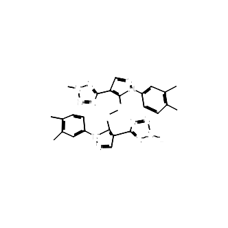 CCn1nnc(-c2cnn(-c3ccc(C)c(C)c3)c2SSc2c(-c3nnn(CC)n3)cnn2-c2ccc(C)c(C)c2)n1